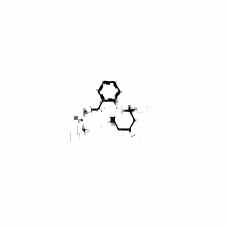 CCO[PH](=O)OCc1ccccc1N1C(C)(C)CC(C)CC1(C)C